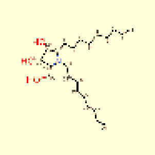 CCCCCCCCC[C@@H]1[C@@H](O)[C@@H](O)[C@H](CO)N1CCCCCCCCC